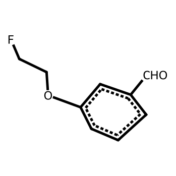 O=Cc1cccc(OCCF)c1